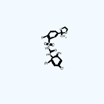 CC(C)c1cc(Cl)cc(C(C)C)c1NC(=O)NS(=O)(=O)c1cc(C2(C)OCCO2)ccc1F